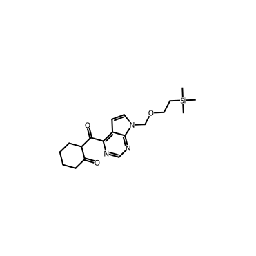 C[Si](C)(C)CCOCn1ccc2c(C(=O)C3CCCCC3=O)ncnc21